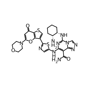 NC(=O)c1c(Nc2cnc(-c3csc4c(=O)cc(N5CCOCC5)oc34)s2)nc(N[C@H]2CCCC[C@H]2N)n2cnnc12